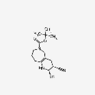 CC(C)(C)OC(=O)N1CCCC2=C(CC(C#N)[C@@H](S)N2)C1